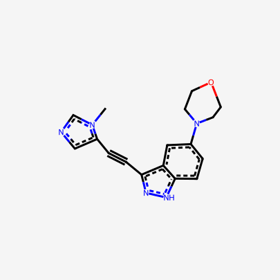 Cn1cncc1C#Cc1n[nH]c2ccc(N3CCOCC3)cc12